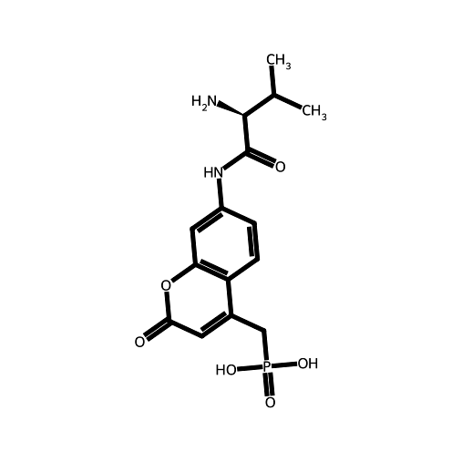 CC(C)[C@H](N)C(=O)Nc1ccc2c(CP(=O)(O)O)cc(=O)oc2c1